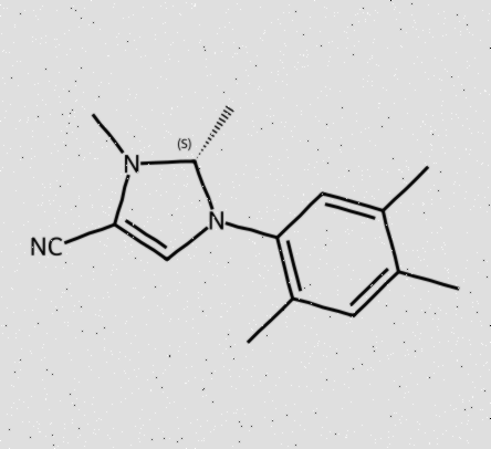 Cc1cc(C)c(N2C=C(C#N)N(C)[C@@H]2C)cc1C